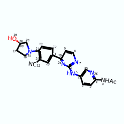 CC(=O)Nc1ccc(Nc2nccc(-c3ccc(N4CC[C@@H](O)C4)c(C#N)c3)n2)cn1